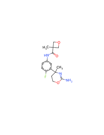 CC1(C(=O)Nc2ccc(F)c(C3(C)CCOC(N)=N3)c2)COC1